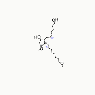 COCCCCCC/C=C/[C@H]1C(C/C=C\CCCCO)[C@H](O)C[C@@H]1OC